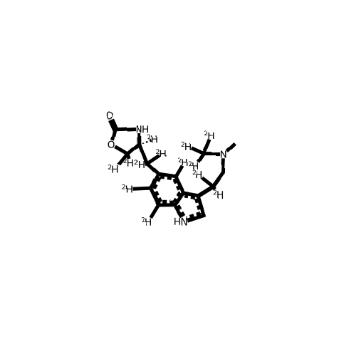 [2H]c1c(C([2H])([2H])[C@]2([2H])NC(=O)OC2([2H])[2H])c([2H])c2c(C([2H])([2H])CN(C)C([2H])([2H])[2H])c[nH]c2c1[2H]